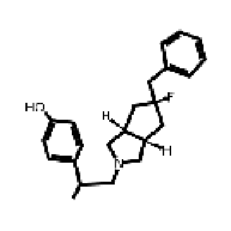 CC(CN1C[C@@H]2C[C@](F)(Cc3ccccc3)C[C@@H]2C1)c1ccc(O)cc1